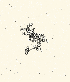 CC[C@H](C)[C@@H]([C@@H](CC(=O)N1CCC[C@H]1[C@H](OC)[C@@H](C)C(=O)N[C@@H](CC1=CC=CCC1)C(=O)OC)OC)N(C)C(=O)[C@@H](NC(=O)[C@H](C(C)C)N(C)CCc1ccc(N(C)C(=O)CCCCCN2C(=O)C=CC2=O)cc1)C(C)C